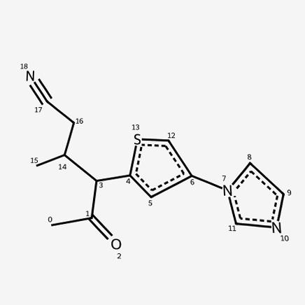 CC(=O)C(c1cc(-n2ccnc2)cs1)C(C)CC#N